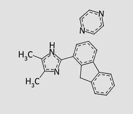 Cc1nc(-c2cccc3c2Cc2ccccc2-3)[nH]c1C.c1cnccn1